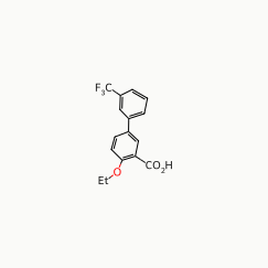 CCOc1ccc(-c2cccc(C(F)(F)F)c2)cc1C(=O)O